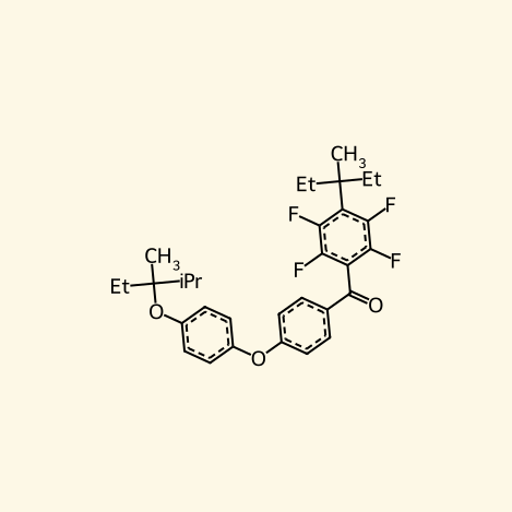 CCC(C)(CC)c1c(F)c(F)c(C(=O)c2ccc(Oc3ccc(OC(C)(CC)C(C)C)cc3)cc2)c(F)c1F